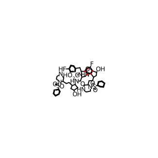 O=C(NC1CC(O)CC1CCC1CNCCN1S(=O)(=O)c1ccccc1)C(Cc1ccc(F)cc1)N(C(=O)O)C(Cc1ccc(F)cc1)C(=O)NC1CC(O)CC1CCC1CNCCN1S(=O)(=O)c1ccccc1